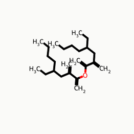 C=C(CC(CC)CCCC)C(=C)OC(=C)C(=C)CC(CC)CCCC